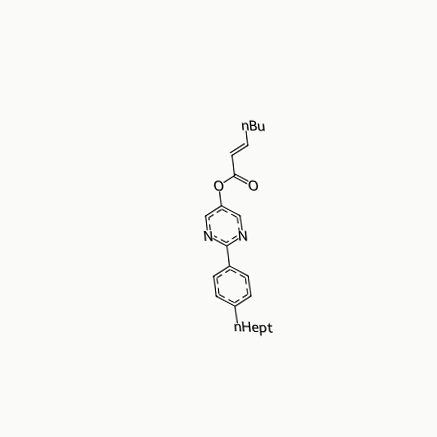 CCCC/C=C/C(=O)Oc1cnc(-c2ccc(CCCCCCC)cc2)nc1